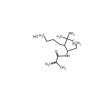 C=C(C)C(=O)NC(CC)C(CCCC)C(C)(C)N.Cl